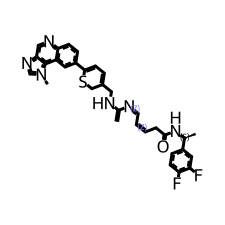 C=C(/N=C\C=C/CC(=O)N[C@@H](C)c1ccc(F)c(F)c1)NCC1=CC=C(c2ccc3ncc4ncn(C)c4c3c2)SC1